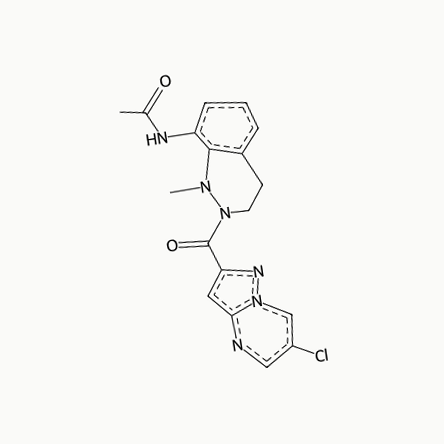 CC(=O)Nc1cccc2c1N(C)N(C(=O)c1cc3ncc(Cl)cn3n1)CC2